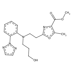 COC(=O)c1nc(CCN(CCCO)c2ccccc2-n2nccn2)oc1C